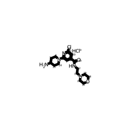 Cl.NC1CCN(c2cc(C(=O)NCCN3CCOCC3)cc(Cl)n2)CC1